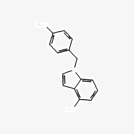 COc1ccc(Cn2ccc3c(C=O)cccc32)cc1